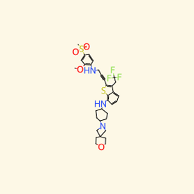 COc1cc(S(C)(=O)=O)ccc1NCC#Cc1sc2c(NC3CCC(N4CC5(CCOCC5)C4)CC3)cccc2c1CC(F)(F)F